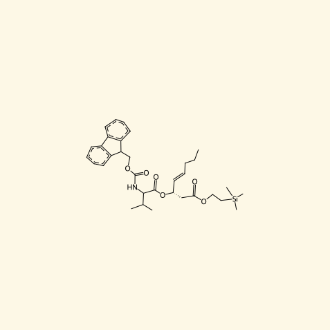 CCC/C=C/[C@H](CC(=O)OCC[Si](C)(C)C)OC(=O)C(NC(=O)OCC1c2ccccc2-c2ccccc21)C(C)C